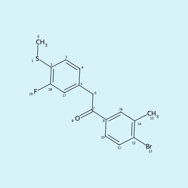 CSc1ccc(CC(=O)c2ccc(Br)c(C)c2)cc1F